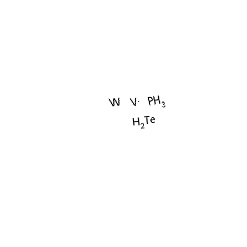 P.[TeH2].[V].[W]